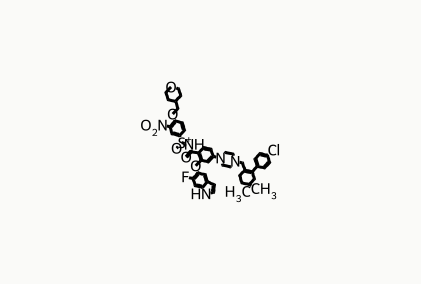 CC1(C)CCC(CN2CCN(c3ccc(C(=O)N[S+]([O-])c4ccc(OCC5CCOCC5)c([N+](=O)[O-])c4)c(Oc4cc5cc[nH]c5cc4F)c3)CC2)=C(c2ccc(Cl)cc2)C1